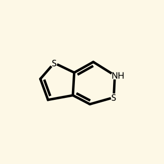 C1=c2ccsc2=CNS1